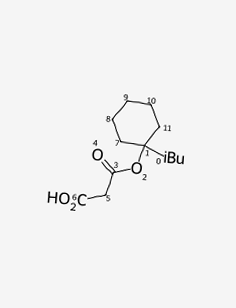 CCC(C)C1(OC(=O)CC(=O)O)CCCCC1